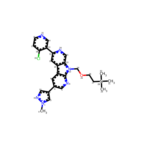 Cn1cc(-c2cnc3c(c2)c2cc(-c4cnccc4Cl)ncc2n3COCC[Si](C)(C)C)cn1